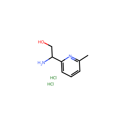 Cc1cccc(C(N)CO)n1.Cl.Cl